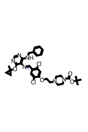 CC(C)(C)OC(=O)N1CCN(CCOc2cc(Cl)c(/C=N/c3c(NCc4ccccc4)ncnc3OC3(C)CC3)cc2Cl)CC1